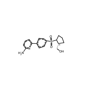 Nc1cccc(-c2ccc(S(=O)(=O)C3CCC[C@@H]3CO)cc2)n1